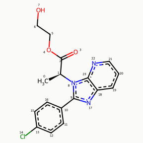 C[C@@H](C(=O)OCCO)n1c(-c2ccc(Cl)cc2)nc2cccnc21